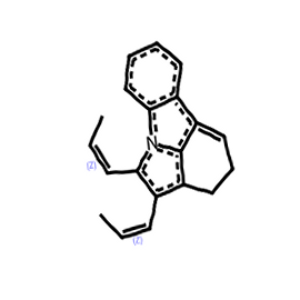 C/C=C\c1c2c3c(c4ccccc4n3c1/C=C\C)=CCC2